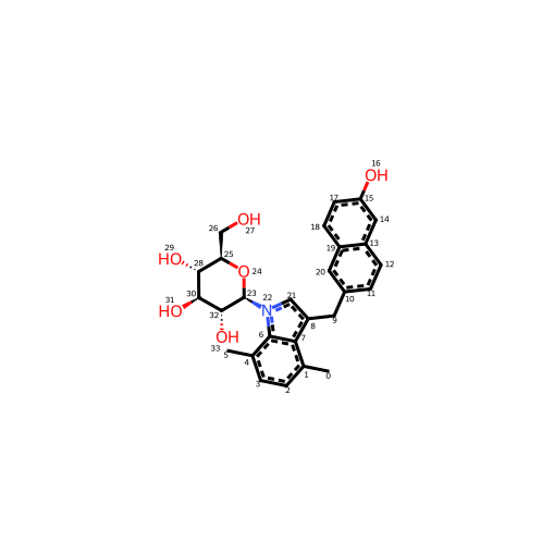 Cc1ccc(C)c2c1c(Cc1ccc3cc(O)ccc3c1)cn2[C@@H]1O[C@H](CO)[C@@H](O)[C@H](O)[C@H]1O